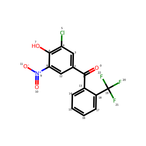 O=C(c1cc(Cl)c(O)c([N+](=O)[O-])c1)c1ccccc1C(F)(F)F